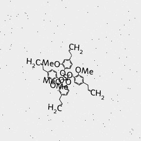 C=CCc1ccc(O[Si](Oc2ccc(CC=C)cc2OC)(Oc2ccc(CC=C)cc2OC)Oc2ccc(CC=C)cc2OC)c(OC)c1